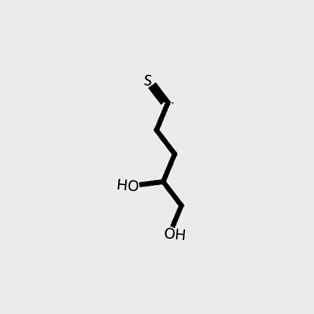 OCC(O)CC[C]=S